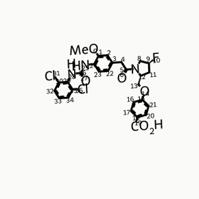 COc1cc(CC(=O)N2C[C@@H](F)C[C@H]2COc2ccc(C(=O)O)cc2)ccc1NC(=O)Nc1c(Cl)cccc1Cl